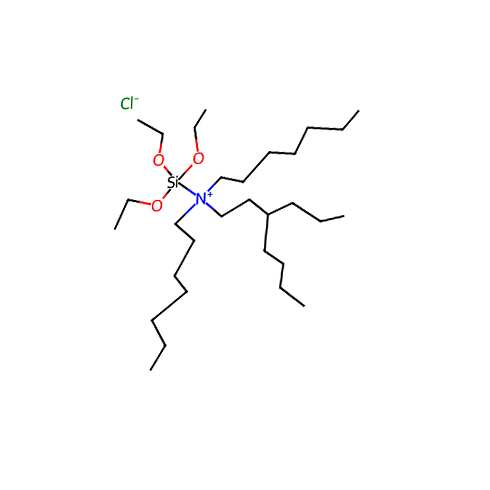 CCCCCCC[N+](CCCCCCC)(CCC(CCC)CCCC)[Si](OCC)(OCC)OCC.[Cl-]